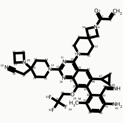 C=CC(=O)N1CC2(CCN(c3nc(N4CCC(CC#N)(N5CCC5)CC4)nc4c(OCC(F)(F)F)c(-c5c(C)ccc(N)c5C=N)c(C5CC5)cc34)CC2)C1